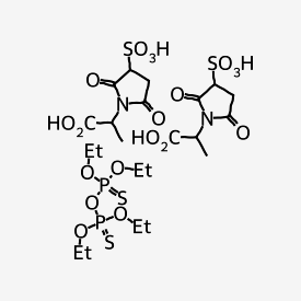 CC(C(=O)O)N1C(=O)CC(S(=O)(=O)O)C1=O.CC(C(=O)O)N1C(=O)CC(S(=O)(=O)O)C1=O.CCOP(=S)(OCC)OP(=S)(OCC)OCC